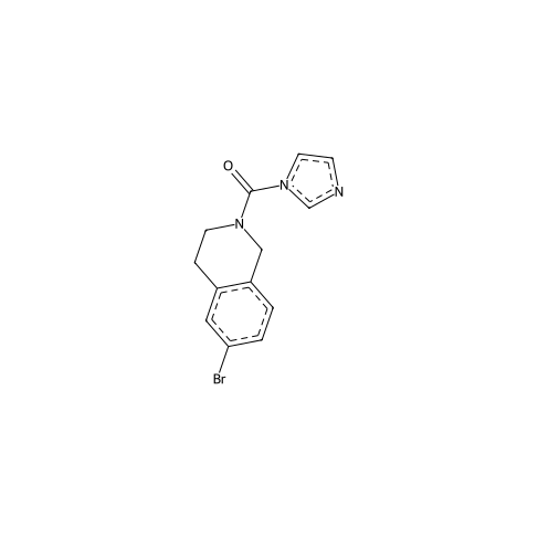 O=C(N1CCc2cc(Br)ccc2C1)n1ccnc1